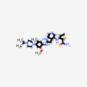 COc1cc(N2CCN(C(C)C)CC2)c(C)cc1Nc1cc2c(Nc3ccsc3C(N)=O)cncc2[nH]1